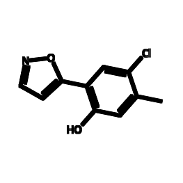 Cc1cc(O)c(-c2ccno2)cc1Cl